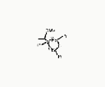 COC(C)[Si]1(C(C)C)O[SiH](C(C)C)O[SiH](C(C)C)O1